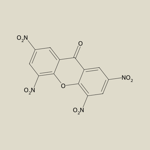 O=c1c2cc([N+](=O)[O-])cc([N+](=O)[O-])c2oc2c([N+](=O)[O-])cc([N+](=O)[O-])cc12